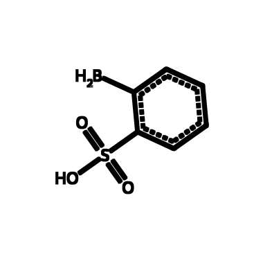 Bc1ccccc1S(=O)(=O)O